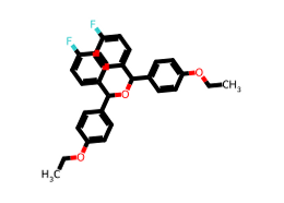 CCOc1ccc(C(OC(c2ccc(F)cc2)c2ccc(OCC)cc2)c2ccc(F)cc2)cc1